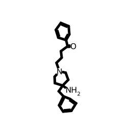 NC1(Cc2ccccc2)CCN(CCCC(=O)c2ccccc2)CC1